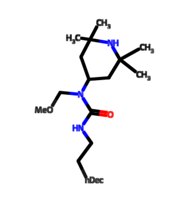 CCCCCCCCCCCCNC(=O)N(COC)C1CC(C)(C)NC(C)(C)C1